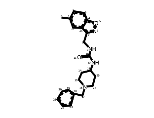 Cc1ccc2onc(CNC(=O)NC3CCN(Cc4ccccc4)CC3)c2c1